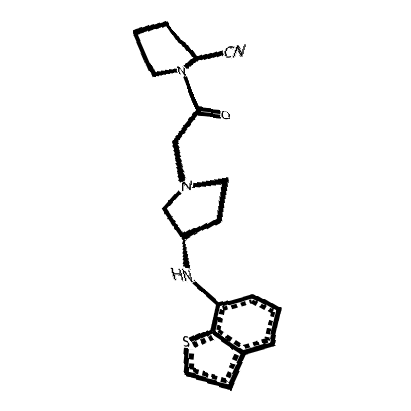 N#CC1CCCN1C(=O)CN1CC[C@@H](Nc2cccc3ccsc23)C1